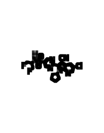 N#Cc1c(-c2ncc(S(=O)(=O)NC(CF)CF)cn2)n(C2CCCC2)c2ncc(Cl)cc12